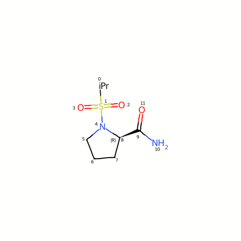 CC(C)S(=O)(=O)N1CCC[C@@H]1C(N)=O